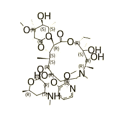 CC[C@H]1OC(=O)[C@H](C)[C@@H](O[C@H]2C[C@@](C)(OC)[C@@H](O)[C@H](C)O2)[C@H](C)[C@@H](O[C@@H]2O[C@H](C)C[C@H](NC)[C@H]2Oc2cccnc2OC)[C@](C)(O)C[C@@H](C)CN(C)[C@H](C)[C@@H](O)[C@]1(C)O